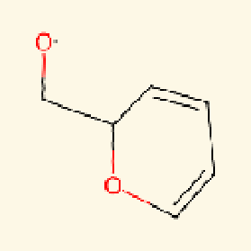 [O]CC1C=CC=CO1